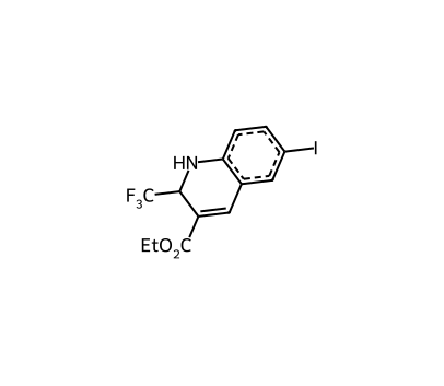 CCOC(=O)C1=Cc2cc(I)ccc2NC1C(F)(F)F